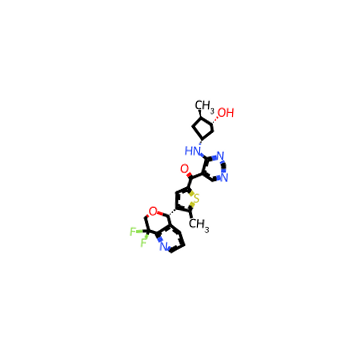 Cc1sc(C(=O)c2cncnc2N[C@@H]2C[C@@H](C)[C@H](O)C2)cc1[C@H]1OCC(F)(F)c2ncccc21